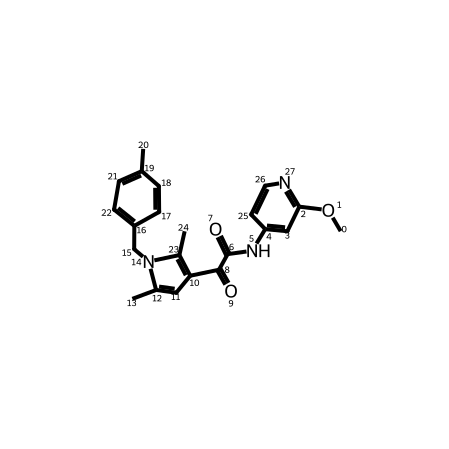 COc1cc(NC(=O)C(=O)c2cc(C)n(Cc3ccc(C)cc3)c2C)ccn1